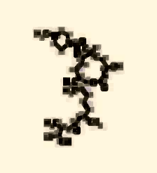 CC[C@H](O)[C@@H](C)[C@H]1O[C@@H]1C[C@H](C)/C=C/C=C(\C)[C@H]1OC(=O)C[C@H](O)CC[C@@](C)(I)[C@@H](OC(=O)N2CCN(C)CC2)/C=C/[C@@H]1C